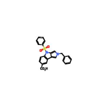 O=C(O)c1ccc2c(c1)c1cn(Cc3ccccc3)cc1n2S(=O)(=O)c1ccccc1